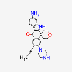 CC#Cc1cc2c(cc1N1CCNCC1)C1(CCOCC1)c1[nH]c3cc(N)ccc3c1C2=O